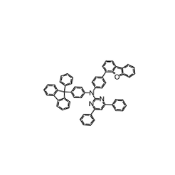 c1ccc(-c2cc(-c3ccccc3)nc(N(c3ccc(-c4cccc5c4oc4ccccc45)cc3)c3ccc(C4(c5ccccc5)c5ccccc5-c5ccccc54)cc3)n2)cc1